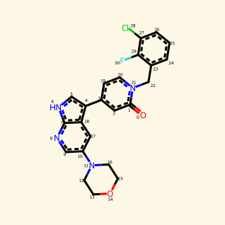 O=c1cc(-c2c[nH]c3ncc(N4CCOCC4)cc23)ccn1Cc1cccc(Cl)c1F